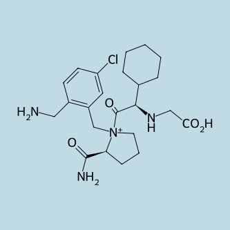 NCc1ccc(Cl)cc1C[N+]1(C(=O)[C@H](NCC(=O)O)C2CCCCC2)CCC[C@H]1C(N)=O